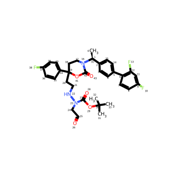 C[C@@H](c1ccc(-c2ccc(F)cc2F)cc1)N1CCC(CCNN(CC=O)C(=O)OC(C)(C)C)(c2ccc(F)cc2)OC1=O